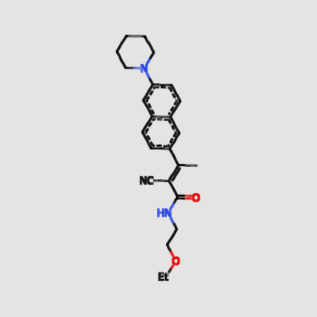 CCOCCNC(=O)/C(C#N)=C(\C)c1ccc2cc(N3CCCCC3)ccc2c1